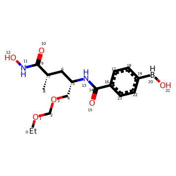 CCOCOC[C@H](C[C@H](C)C(=O)NO)NC(=O)c1ccc(BO)cc1